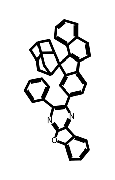 c1ccc(-c2nc3oc4ccccc4c3nc2-c2ccc3c(c2)C2(c4c-3ccc3ccccc43)C3CC4CC(C3)CC2C4)cc1